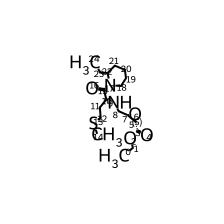 CCOC(=O)[C@H]1OC1CNC(CCSC)C(=O)N1CCCCC1CC